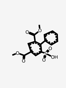 COC(=O)c1cc(C(=O)OC)c(-c2ccccc2)c(S(=O)(=O)O)c1